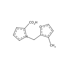 Cc1ccoc1Cn1cccc1C(=O)O